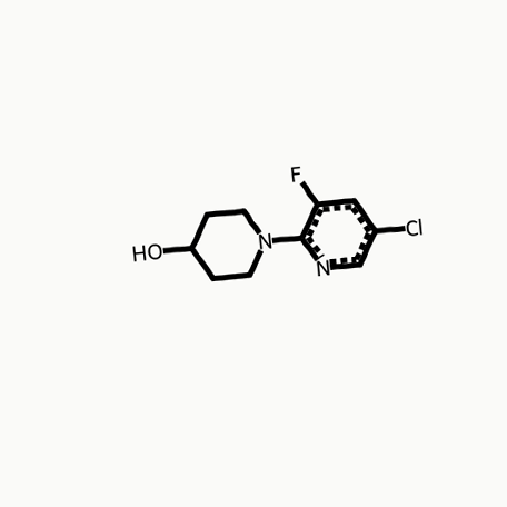 OC1CCN(c2ncc(Cl)cc2F)CC1